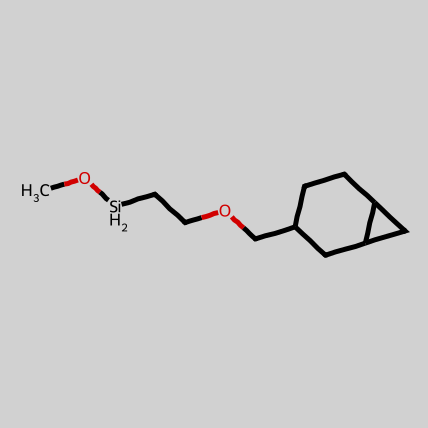 CO[SiH2]CCOCC1CCC2CC2C1